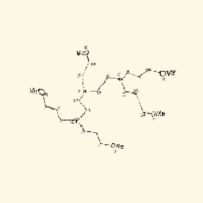 COCCCP(CCCOC)CCN(CCOC)CCP(CCCOC)CCCOC